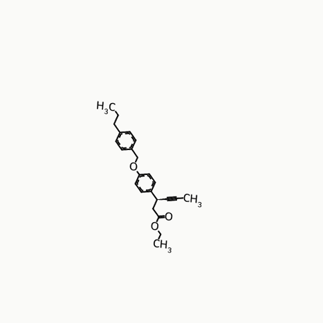 CC#C[C@@H](CC(=O)OCC)c1ccc(OCc2ccc(CCC)cc2)cc1